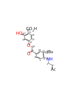 CC(=O)CCNc1ccc(C(=O)COc2ccc(C(=O)O)c(O)c2)cc1C(C)(C)C